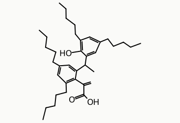 C=C(C(=O)O)c1c(CCCCC)cc(CCCCC)cc1C(C)c1cc(CCCCC)cc(CCCCC)c1O